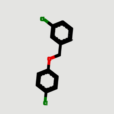 Clc1ccc(OCc2[c]ccc(Cl)c2)cc1